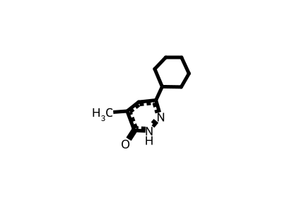 Cc1cc(C2CCCCC2)n[nH]c1=O